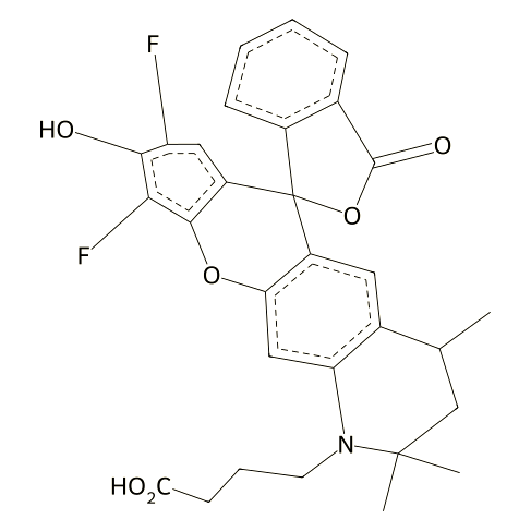 CC1CC(C)(C)N(CCCC(=O)O)c2cc3c(cc21)C1(OC(=O)c2ccccc21)c1cc(F)c(O)c(F)c1O3